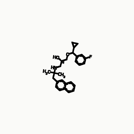 CC(C)(Cc1ccc2ccccc2c1)NC[C@@H](O)COC(c1cccc(F)c1)C1CC1